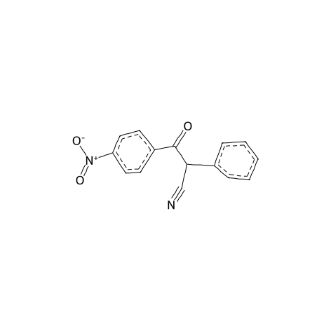 N#CC(C(=O)c1ccc([N+](=O)[O-])cc1)c1ccccc1